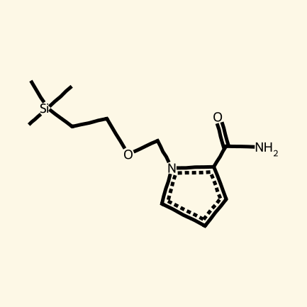 C[Si](C)(C)CCOCn1cccc1C(N)=O